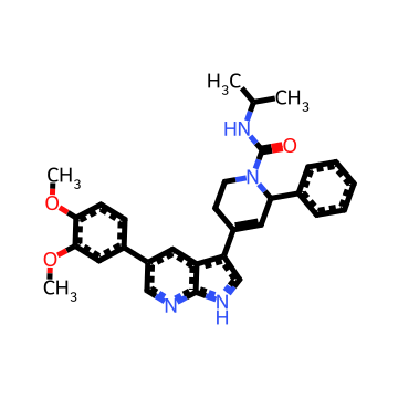 COc1ccc(-c2cnc3[nH]cc(C4=CC(c5ccccc5)N(C(=O)NC(C)C)CC4)c3c2)cc1OC